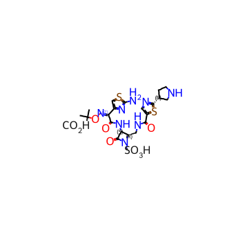 CC(C)(O/N=C(\C(=O)N[C@@H]1C(=O)N(S(=O)(=O)O)[C@@H]1CNC(=O)c1cnc([C@@H]2CCNC2)s1)c1csc(N)n1)C(=O)O